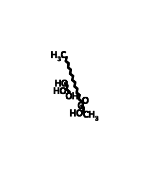 CCCCCCCCCCCCCCCC(=O)OCC(C)O.OCC(O)CO